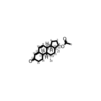 CC(=O)O[C@H]1CC[C@H]2[C@@H]3C=CC4=CC(=O)CC[C@@H]4[C@H]3[C@@H](C)C[C@]12C